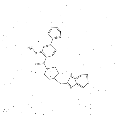 COc1cc(-c2ccccc2)ccc1C(=O)N1CCC(Cc2nc3ccccc3[nH]2)CC1